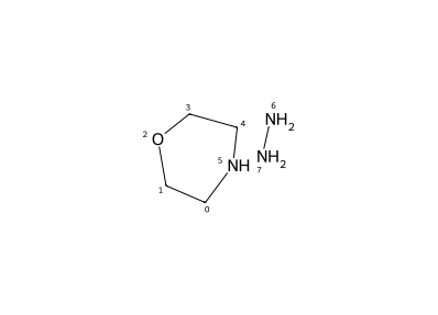 C1COCCN1.NN